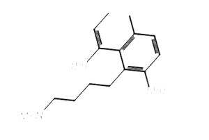 C/C=C(\c1c(C)ccc(CCCC)c1CCCCNC)C(C)(C)C